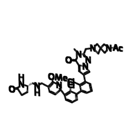 COc1nc(-c2cccc(-c3cccc(-c4cc5c(=O)n(C)c(CN6CC7(C6)CN(C(C)=O)C7)nn5c4)c3Cl)c2Cl)ccc1CNC[C@@H]1CCC(=O)N1